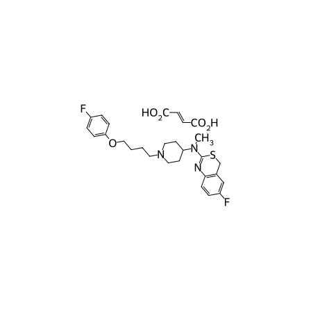 CN(C1=Nc2ccc(F)cc2CS1)C1CCN(CCCCOc2ccc(F)cc2)CC1.O=C(O)C=CC(=O)O